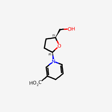 O=C(O)C1=CN([C@H]2CC[C@@H](CO)O2)C=CC1